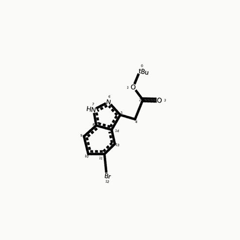 CC(C)(C)OC(=O)Cc1n[nH]c2ccc(Br)cc12